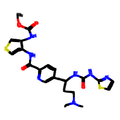 CN(C)CCC(NC(=O)Nc1nccs1)c1ccc(C(=O)Nc2cscc2NC(=O)OC(C)(C)C)nc1